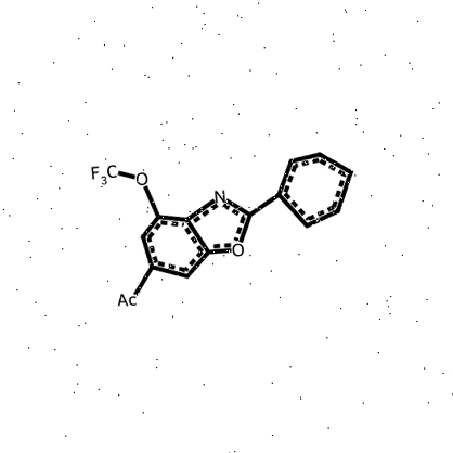 CC(=O)c1cc(OC(F)(F)F)c2nc(-c3ccccc3)oc2c1